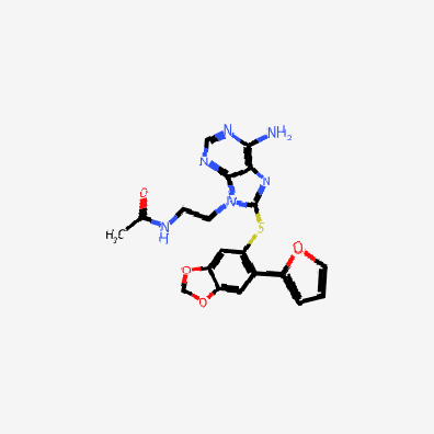 CC(=O)NCCn1c(Sc2cc3c(cc2-c2ccco2)OCO3)nc2c(N)ncnc21